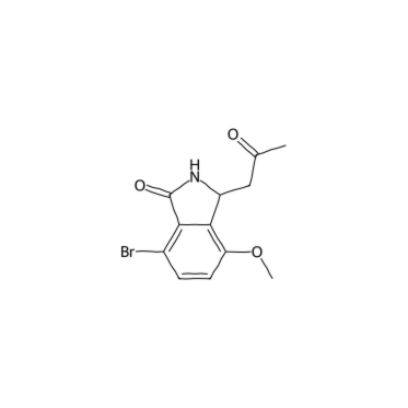 COc1ccc(Br)c2c1C(CC(C)=O)NC2=O